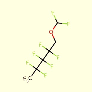 FC(F)OCC(F)(F)C(F)(F)C(F)(F)C(F)(F)F